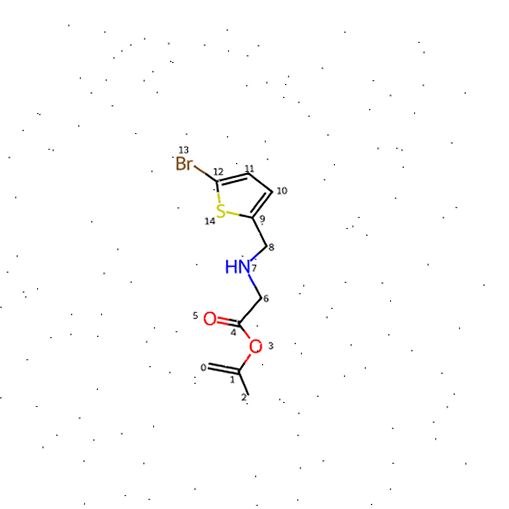 C=C(C)OC(=O)CNCc1ccc(Br)s1